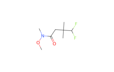 CON(C)C(=O)CC(C)(C)C(F)F